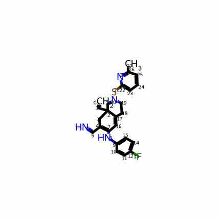 C=CC12CC(C=N)=C(Nc3ccc(F)cc3)C=C1CCN(Sc1cccc(C)n1)C2